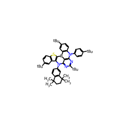 CC(C)(C)c1ccc(N2c3ccc(C(C)(C)C)cc3B3c4sc5ccc(C(C)(C)C)cc5c4N(c4ccc5c(c4)C(C)(C)CCC5(C)C)c4nc(C(C)(C)C)nc2c43)cc1